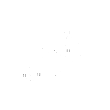 Cc1ccccc1[C@H](C(=O)NC1CCCCC1)N(c1cccc(F)c1)C(=O)[C@H]1C[C@@H](NS(=O)(=O)N2CC2)C1